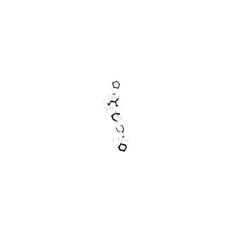 O=C(Nc1ccc(N2CCN(C(=O)Nc3ccccc3F)CC2)nc1)c1cnc(SC2CCCC2)nc1C(F)(F)F